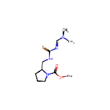 CN(C)/C=N/C(=S)NCC1CCCN1C(=O)OC(C)(C)C